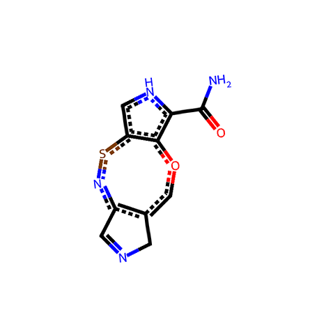 NC(=O)c1[nH]cc2snc3c(coc12)CN=C3